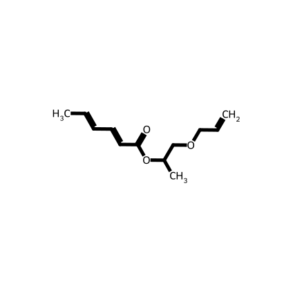 C=CCOCC(C)OC(=O)/C=C/C=C/C